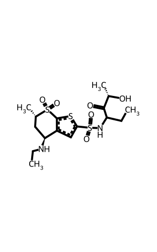 CCN[C@H]1C[C@H](C)S(=O)(=O)c2sc(S(=O)(=O)NC(CC)C(=O)[C@H](C)O)cc21